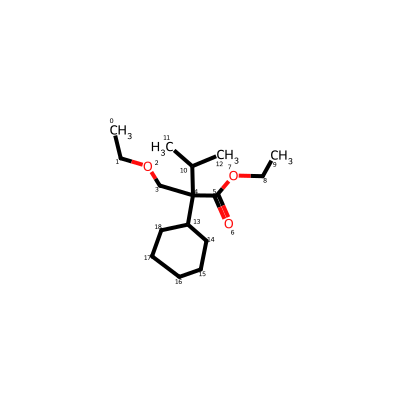 CCOCC(C(=O)OCC)(C(C)C)C1CCCCC1